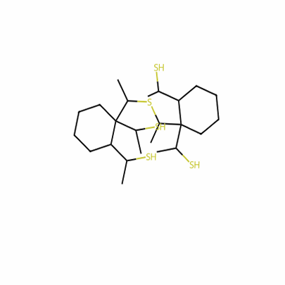 CC(S)C1CCCCC1(C(C)S)C(C)SC(C)C1(C(C)S)CCCCC1C(C)S